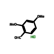 COc1ccc(C=O)c(OC)c1.Cl